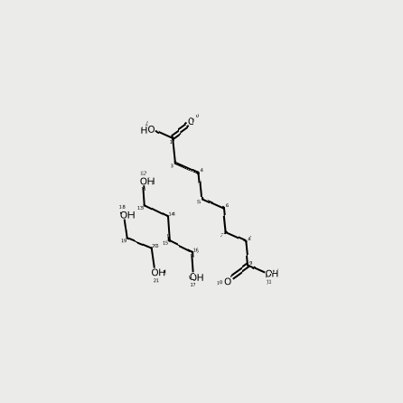 O=C(O)CCCCCCC(=O)O.OCCCCO.OCCO